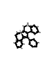 c1ccc(-c2c3c(n4ccc5ccccc5c24)COc2ccccc2-3)cc1